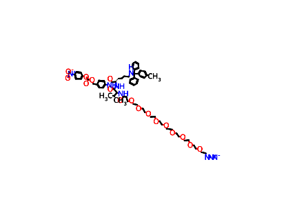 Cc1ccc(C(NCCCC[C@H](NC(=O)[C@@H](NC(=O)CCOCCOCCOCCOCCOCCOCCOCCOCCOCCN=[N+]=[N-])C(C)C)C(=O)Nc2ccc(COC(=O)Oc3ccc([N+](=O)[O-])cc3)cc2)(c2ccccc2)c2ccccc2)cc1